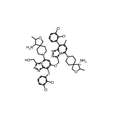 Cc1cc(N2CCC3(CC2)COC(C)[C@H]3N)n2c(COc3cc(N4CCC5(CC4)COC(C)C5N)n4c(CO)nnc4c3Sc3cccc(Cl)c3Cl)nnc2c1-c1cccc(Cl)c1Cl